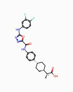 C[C@H](C(=O)O)[C@H]1CC[C@H](c2ccc(NC(=O)c3nnc(Nc4ccc(F)c(F)c4)o3)cc2)CC1